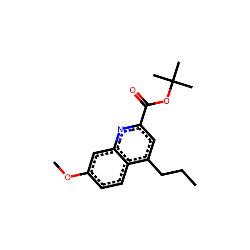 CCCc1cc(C(=O)OC(C)(C)C)nc2cc(OC)ccc12